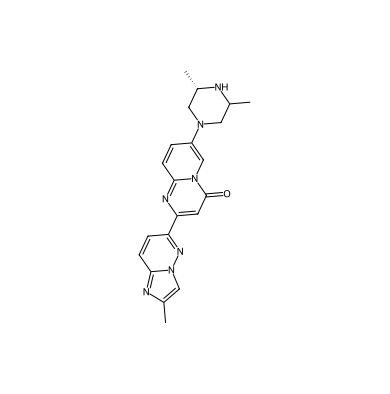 Cc1cn2nc(-c3cc(=O)n4cc(N5CC(C)N[C@@H](C)C5)ccc4n3)ccc2n1